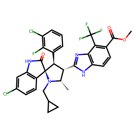 COC(=O)c1ccc2[nH]c([C@@H]3[C@H](C)N(CC4CC4)[C@@]4(C(=O)Nc5cc(Cl)ccc54)[C@H]3c3cccc(Cl)c3F)nc2c1C(F)(F)F